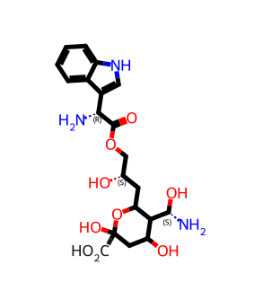 N[C@@H](C(=O)OC[C@@H](O)CC1OC(O)(C(=O)O)CC(O)C1[C@@H](N)O)c1c[nH]c2ccccc12